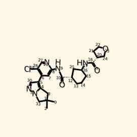 CC1(C)Cc2c(-c3cc(NC(=O)[C@H]4CCCC(NC(=O)[C@@H]5CCOC5)C4)ncc3Cl)cnn2C1